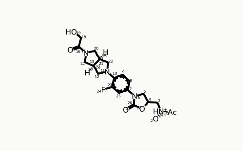 CC(=O)[N@@H+]([O-])CC1CN(c2ccc(N3C[C@H]4CN(C(=O)CO)C[C@H]4C3)c(F)c2)C(=O)O1